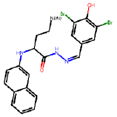 CNCCC(Nc1ccc2ccccc2c1)C(=O)N/N=C\c1cc(Br)c(O)c(Br)c1